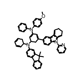 COc1ccc(N(C2=CC(N(c3ccc4c(c3)C(C)(C)c3ccccc3-4)C3C=CC=CC3)CC(c3ccc4c(c3)c3c(n4-c4ccccn4)=CCCC=3)=C2)c2ccccc2)cc1